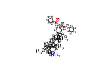 C=C=C(C)[C@@H]1CC[C@]2(N)CC[C@]3(C)[C@H](CC[C@@H]4[C@@]5(C)CC=C(C6=CCC(COC(=O)c7ccccc7)(C(=O)OCc7ccccc7)CC6)C(C)(C)[C@@H]5CC[C@]43C)[C@@H]12